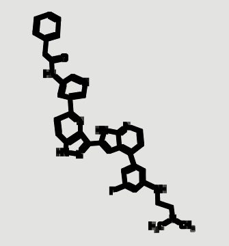 CN(C)CCNc1cc(F)cc(-c2ccnc3[nH]c(-c4n[nH]c5ccc(-c6cncc(NC(=O)Cc7ccccc7)c6)nc45)cc23)c1